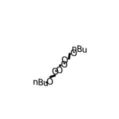 CCCCOCCOOCOOCCOCCCC